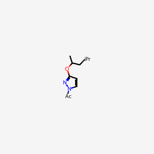 CC(=O)n1ccc(OC(C)CC(C)C)n1